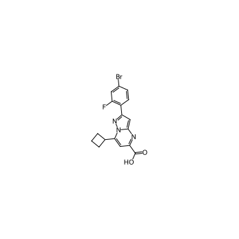 O=C(O)c1cc(C2CCC2)n2nc(-c3ccc(Br)cc3F)cc2n1